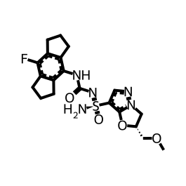 COC[C@H]1Cn2ncc([S@](N)(=O)=NC(=O)Nc3c4c(c(F)c5c3CCC5)CCC4)c2O1